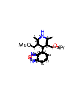 COCC1=C(C)NC(C)=C(COC(C)C)C1c1cccc2nonc12